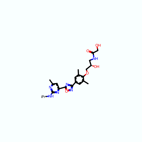 Cc1cc(-c2nc(-c3cc(C)c(OC[C@H](O)CNC(=O)CO)c(C)c3)no2)nc(NC(C)C)n1